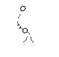 CN(C)CCCN(CCCN(C)C)Cc1ccc(-c2nnc(CSCCOc3ccccc3)o2)cc1